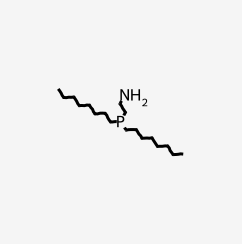 CCCCCCCCP(CCN)CCCCCCCC